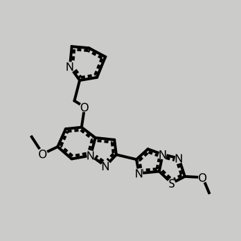 COc1cc(OCc2ccccn2)c2cc(-c3cn4nc(OC)sc4n3)nn2c1